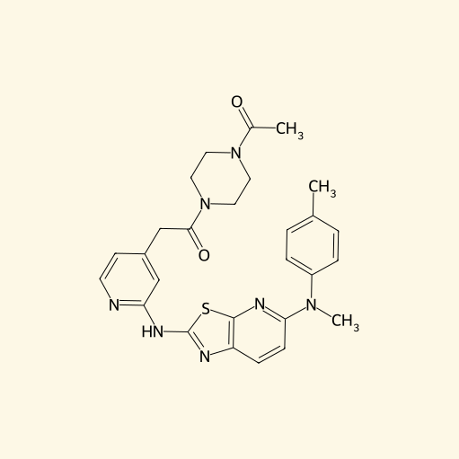 CC(=O)N1CCN(C(=O)Cc2ccnc(Nc3nc4ccc(N(C)c5ccc(C)cc5)nc4s3)c2)CC1